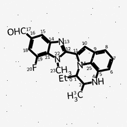 CCC1C(C)Nc2cccc3cc(-c4nc5cc(C=O)cc(F)c5n4C)n1c23